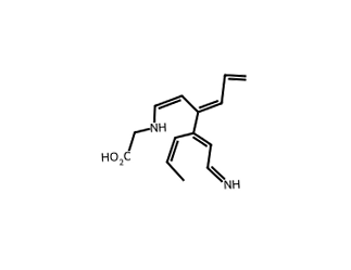 C=C/C=C(\C=C/NCC(=O)O)C(/C=C\C)=C/C=N